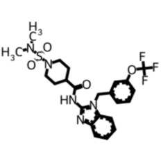 CN(C)S(=O)(=O)N1CCC(C(=O)Nc2nc3ccccc3n2Cc2cccc(OC(F)(F)F)c2)CC1